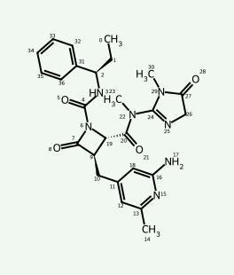 CC[C@@H](NC(=O)N1C(=O)[C@H](Cc2cc(C)nc(N)c2)[C@H]1C(=O)N(C)C1=NCC(=O)N1C)c1ccccc1